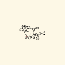 C=CC(=O)N1CC[C@H](C(=O)N(C)C(C(=O)N[C@H]2Cc3cc(O)cc(c3)-c3ccc4c(c3)c(c(-c3c(OC)cncc3OC)n4CC)CC(C)(C)COC(=O)[C@@H]3CCCN(N3)C2=O)C(C)C)C1